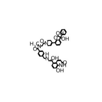 CN(CC(=O)N1CC=C(c2cccc([C@](O)(C(=O)O)c3ccccc3)c2)CC1)C(=O)c1ccc(CNC[C@H](O)c2ccc(O)c3[nH]c(=O)ccc23)cc1